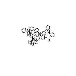 Cc1cc(C)c(N(c2ccccc2)c2ccc3c(c2)c2ccccc2n3-c2ccccc2)c(C)c1N(c1ccccc1)c1ccc2c(c1)C1C=CC=CC1N2c1ccccc1